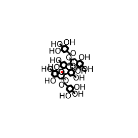 O=C(O[C@@H]1Cc2c(O)cc(O)cc2OC1c1cc(O)c(O)c(O)c1-c1c([C@H]2Oc3cc(O)cc(O)c3C[C@H]2OC(=O)c2cc(O)c(O)c(O)c2)cc(O)c(O)c1O)c1cc(O)c(O)c(O)c1